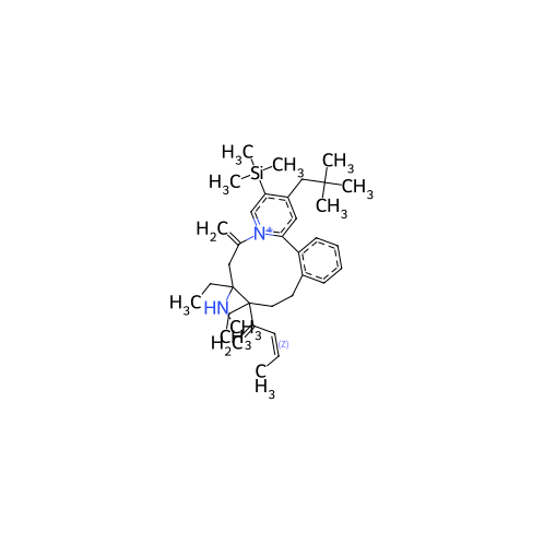 C=C1CC(CC)(NC)C(CC)(C(=C)/C=C\C)CCc2ccccc2-c2cc(CC(C)(C)C)c([Si](C)(C)C)c[n+]21